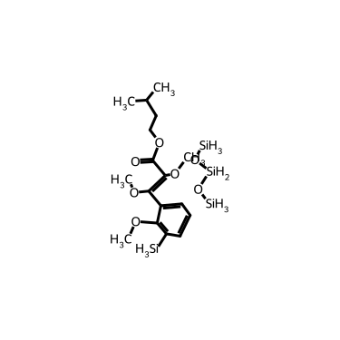 COC(C(=O)OCCC(C)C)=C(OC)c1cccc([SiH3])c1OC.[SiH3]O[SiH2]O[SiH3]